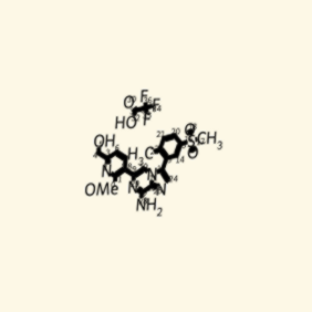 COc1nc(CO)ccc1-c1cn2c(-c3cc(S(C)(=O)=O)ccc3C)cnc2c(N)n1.O=C(O)C(F)(F)F